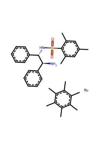 Cc1c(C)c(C)c(C)c(C)c1C.Cc1cc(C)c(S(=O)(=O)N[C@@H](c2ccccc2)[C@@H](N)c2ccccc2)c(C)c1.[Ru]